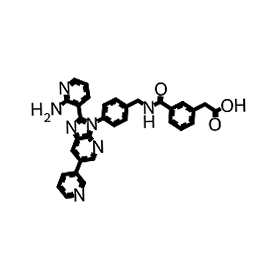 Nc1ncccc1-c1nc2cc(-c3cccnc3)cnc2n1-c1ccc(CNC(=O)c2cccc(CC(=O)O)c2)cc1